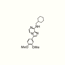 COc1ccc(-c2cnc3c(NCC4CCCCC4)nccn23)cc1OC